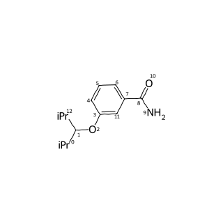 CC(C)C(Oc1cccc(C(N)=O)c1)C(C)C